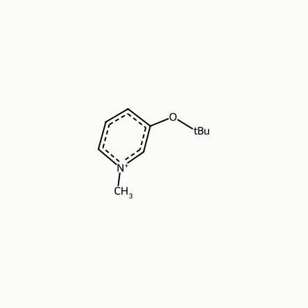 C[n+]1cccc(OC(C)(C)C)c1